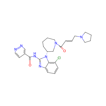 O=C(Nc1nc2cccc(Cl)c2n1[C@@H]1CCCCN(C(=O)/C=C/CN2CCCC2)C1)c1ccnnc1